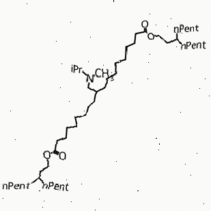 CCCCCC(CCCCC)CCOC(=O)CCCCCCCCC(CCCCCCCCC(=O)OCCC(CCCCC)CCCCC)CN(C)C(C)C